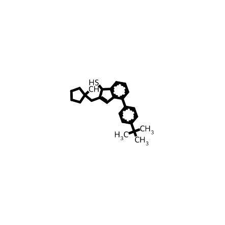 CC1(CC2=Cc3c(-c4ccc(C(C)(C)C)cc4)cccc3C2S)CCCC1